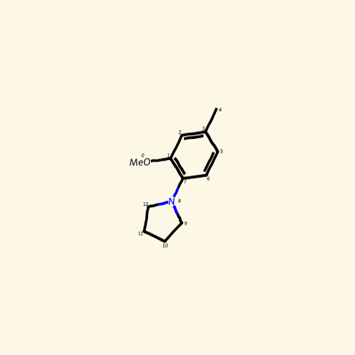 COc1cc(C)ccc1N1CCCC1